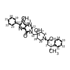 C[C@H](CC(=O)N1CCC(O)(Cn2cnc3c(nc(-c4ccccc4)n3C)c2=O)CC1)c1ccccc1